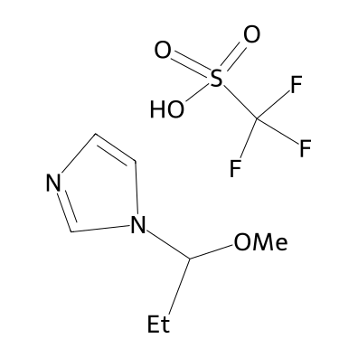 CCC(OC)n1ccnc1.O=S(=O)(O)C(F)(F)F